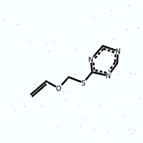 C=COCSc1ncncn1